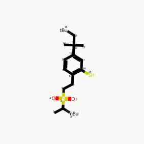 CCCCC(C)S(=O)(=O)CCc1ccc(C(C)(C)CC(C)(C)C)cc1S